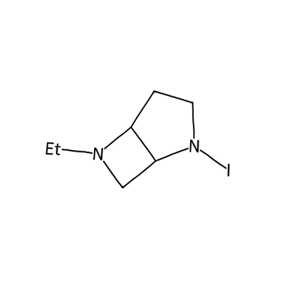 CCN1CC2C1CCN2I